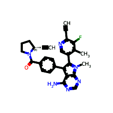 C#Cc1ncc(-c2c(-c3ccc(C(=O)N4CCC[C@@H]4C#C)cc3)c3c(N)ncnc3n2C)c(C)c1F